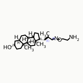 CC(/C=N/OCCN)=C\[C@H]1CC[C@H]2[C@@H]3CC[C@@H]4C[C@@H](O)CC[C@]4(C)[C@H]3CC[C@]12C